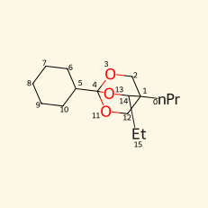 CCCC12COC(C3CCCCC3)(OC1)OC2CC